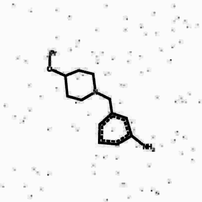 CC(C)OC1CCN(Cc2cccc(N)c2)CC1